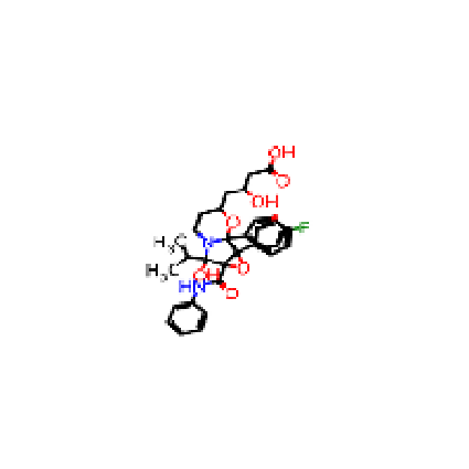 CC(C)C1(O)N2CCC(CC(O)CC(=O)O)OC2(c2ccc(F)cc2)C2(c3ccccc3)OC12C(=O)Nc1ccccc1